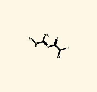 CCC(C)N/C(N)=N/C(=O)[C@H](O)CC